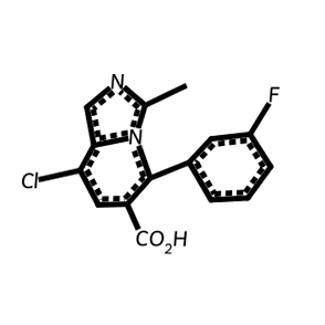 Cc1ncc2c(Cl)cc(C(=O)O)c(-c3cccc(F)c3)n12